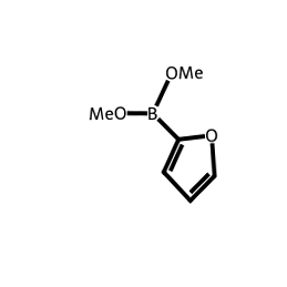 COB(OC)c1ccco1